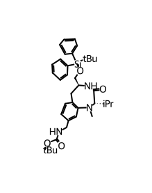 CC(C)[C@H]1C(=O)N[C@H](CO[Si](c2ccccc2)(c2ccccc2)C(C)(C)C)Cc2ccc(CNC(=O)OC(C)(C)C)cc2N1C